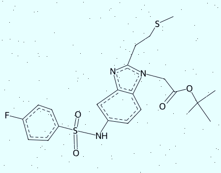 CSCCc1nc2cc(NS(=O)(=O)c3ccc(F)cc3)ccc2n1CC(=O)OC(C)(C)C